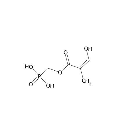 CC(=CO)C(=O)OCP(=O)(O)O